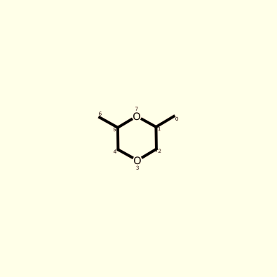 CC1[CH]OCC(C)O1